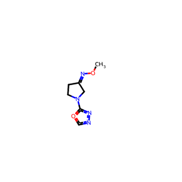 CON=C1CCN(c2nnco2)C1